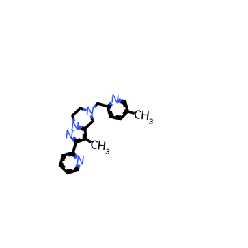 Cc1ccc(CN2CCn3nc(-c4ccccn4)c(C)c3C2)nc1